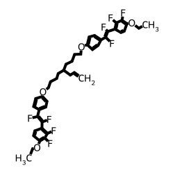 C=CCC(CCCCOc1ccc(/C(F)=C(\F)c2ccc(OCC)c(F)c2F)cc1)CCCCOc1ccc(/C(F)=C(\F)c2ccc(OCC)c(F)c2F)cc1